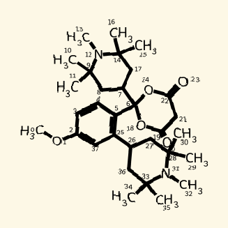 COc1ccc(C2(C3CC(C)(C)N(C)C(C)(C)C3)OC(=O)CC(=O)O2)c(C2CC(C)(C)N(C)C(C)(C)C2)c1